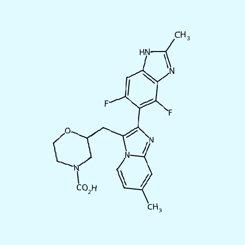 Cc1ccn2c(CC3CN(C(=O)O)CCO3)c(-c3c(F)cc4[nH]c(C)nc4c3F)nc2c1